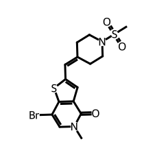 Cn1cc(Br)c2sc(C=C3CCN(S(C)(=O)=O)CC3)cc2c1=O